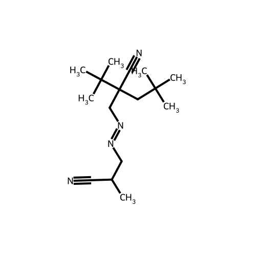 CC(C#N)CN=NCC(C#N)(CC(C)(C)C)C(C)(C)C